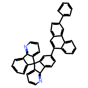 c1ccc(-c2ccc3cc(-c4ccc5c(c4)C4(c6ccccc6-c6ncccc64)c4cccnc4-5)c4ccccc4c3c2)cc1